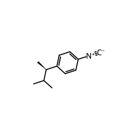 [C-]#[N+]c1ccc([C@H](C)C(C)C)cc1